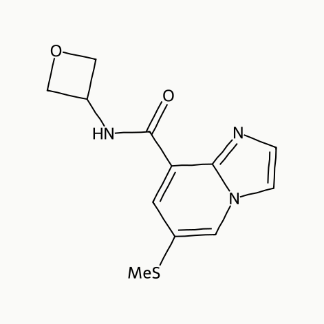 CSc1cc(C(=O)NC2COC2)c2nccn2c1